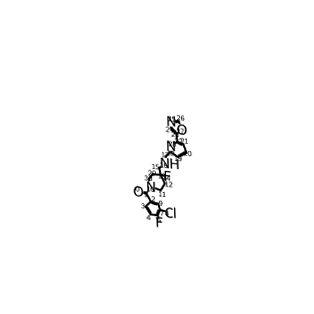 O=C(c1ccc(F)c(Cl)c1)N1CCC(F)(CNCc2cccc(-c3cnco3)n2)CC1